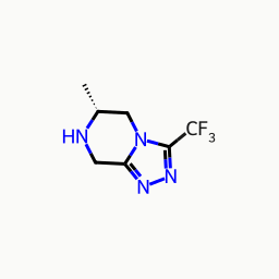 C[C@@H]1Cn2c(nnc2C(F)(F)F)CN1